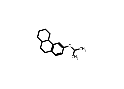 CC(C)Oc1ccc2c(c1)C1CCCCC1CC2